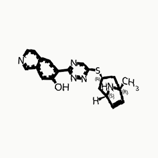 C[C@]12C=C[C@H](C[C@@H](Sc3cnc(-c4cc5ccncc5cc4O)nn3)C1)N2